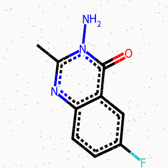 Cc1nc2ccc(F)cc2c(=O)n1N